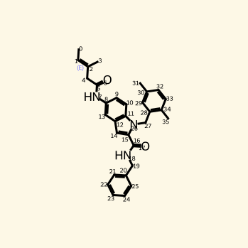 C/C=C(\C)CC(=O)Nc1ccc2c(c1)cc(C(=O)NCc1ccccc1)n2Cc1cc(C)ccc1C